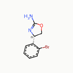 NC1=N[C@@H](c2ccccc2Br)CO1